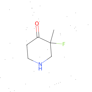 CC1(F)CNCCC1=O